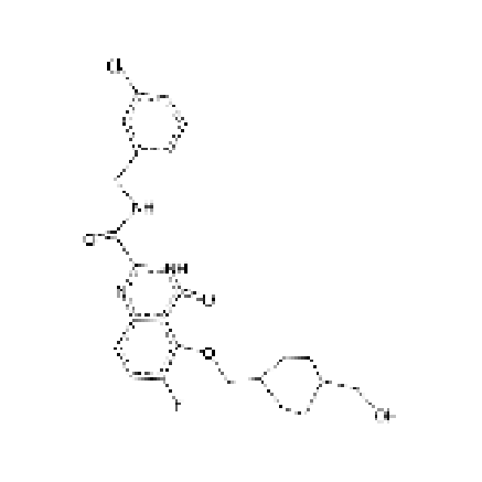 O=C(NCc1cccc(Cl)c1)c1nc2ccc(F)c(OCC3CCC(CO)CC3)c2c(=O)[nH]1